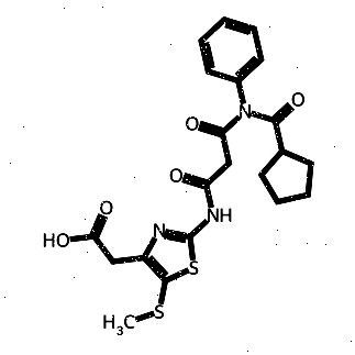 CSc1sc(NC(=O)CC(=O)N(C(=O)C2CCCC2)c2ccccc2)nc1CC(=O)O